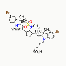 CCCCC[N+]1=C(/C=C/C2=C(N(C)S(=O)(=O)C(C)(C)C)C(=C/C=C3/N(CCCCS(=O)(=O)O)c4ccc(Br)cc4C3(C)C)/CC2)C(C)(C)c2cc(Br)ccc21